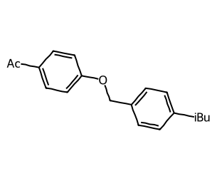 CCC(C)c1ccc(COc2ccc(C(C)=O)cc2)cc1